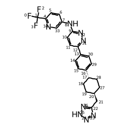 FC(F)(F)c1ccc(Nc2ccc(-c3ccc([C@H]4CC[C@H](Cc5nn[nH]n5)CC4)cc3)nn2)cn1